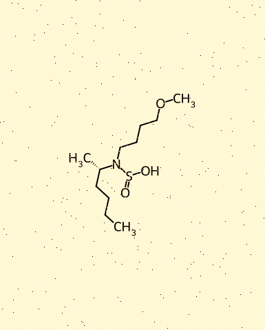 CCCC[C@H](C)N(CCCCOC)S(=O)O